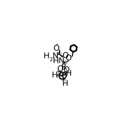 COC[C@@H](N)C(=O)N[C@@H](COCc1ccccc1)B1O[C@@H]2C[C@@H]3C[C@@H](C3(C)C)[C@]2(C)O1